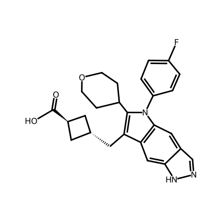 O=C(O)[C@H]1C[C@H](Cc2c(C3CCOCC3)n(-c3ccc(F)cc3)c3cc4cn[nH]c4cc23)C1